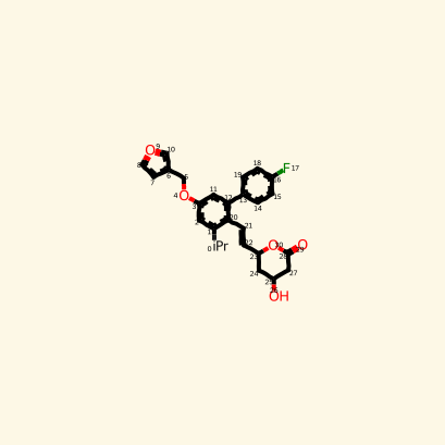 CC(C)c1cc(OCc2ccoc2)cc(-c2ccc(F)cc2)c1C=CC1CC(O)CC(=O)O1